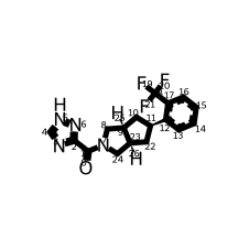 O=C(c1nc[nH]n1)N1C[C@H]2C[C@@H](c3ccccc3C(F)(F)F)C[C@H]2C1